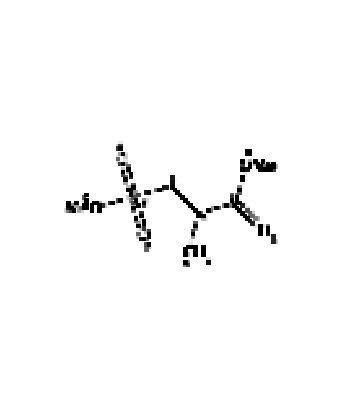 COC(=O)C(C)CS(=O)(=O)OC